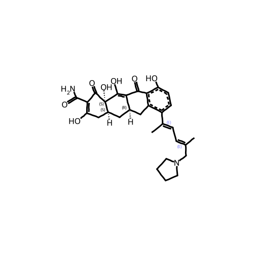 C/C(=C\C=C(/C)c1ccc(O)c2c1C[C@H]1C[C@H]3CC(O)=C(C(N)=O)C(=O)[C@@]3(O)C(O)=C1C2=O)CN1CCCC1